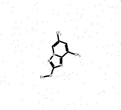 CCOc1nc2c(C)cc(C(F)(F)F)cn2n1